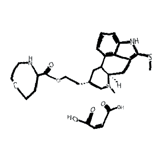 CSc1[nH]c2cccc3c2c1C[C@@H]1C3C[C@@H](CCOC(=O)C2CCCCCN2)CN1C.O=C(O)/C=C\C(=O)O